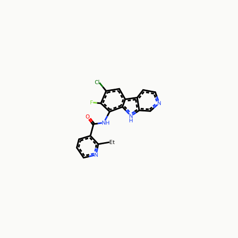 CCc1ncccc1C(=O)Nc1c(F)c(Cl)cc2c1[nH]c1cnccc12